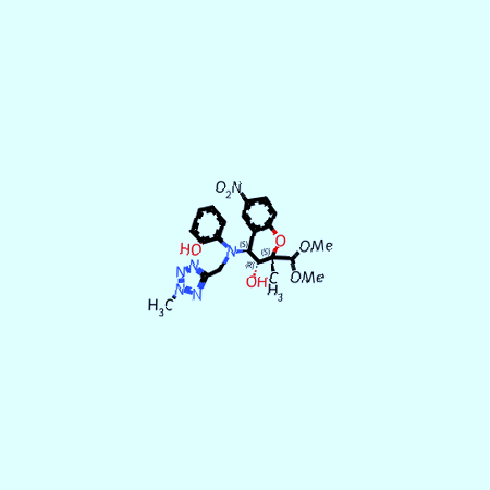 COC(OC)[C@@]1(C)Oc2ccc([N+](=O)[O-])cc2[C@H](N(Cc2nnn(C)n2)c2ccccc2O)[C@H]1O